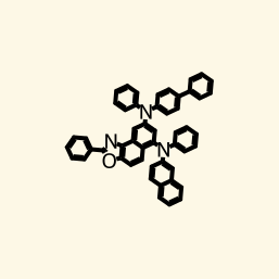 c1ccc(-c2ccc(N(c3ccccc3)c3cc(N(c4ccccc4)c4ccc5ccccc5c4)c4ccc5oc(-c6ccccc6)nc5c4c3)cc2)cc1